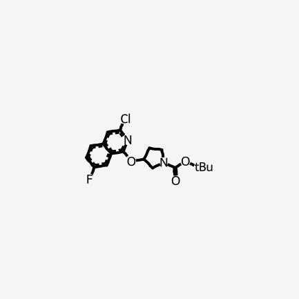 CC(C)(C)OC(=O)N1CCC(Oc2nc(Cl)cc3ccc(F)cc23)C1